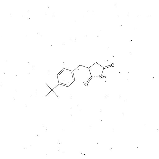 CC(C)(C)c1ccc(CC2CC(=O)NC2=O)cc1